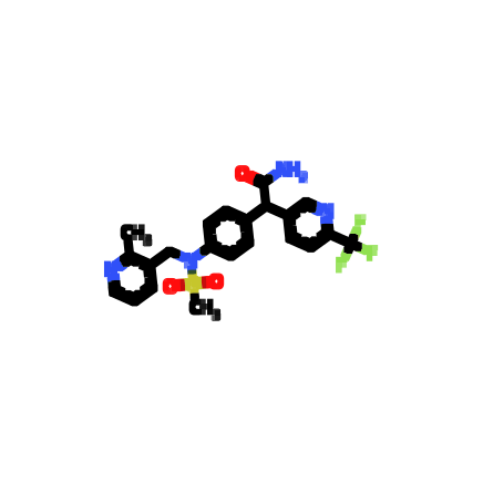 Cc1ncccc1CN(c1ccc(C(C(N)=O)c2ccc(C(F)(F)F)nc2)cc1)S(C)(=O)=O